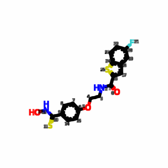 O=C(NCCOc1ccc(C(=S)NO)cc1)c1cc2cc(F)ccc2s1